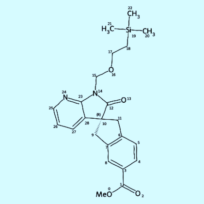 COC(=O)c1ccc2c(c1)C[C@@]1(C2)C(=O)N(COCC[Si](C)(C)C)c2ncccc21